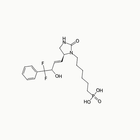 O=C1NC[C@H](/C=C/C(O)C(F)(F)c2ccccc2)N1CCCCCCP(=O)(O)O